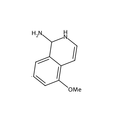 COc1c[c]cc2c1C=CNC2N